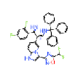 N=C(/C(=C\NC(c1ccccc1)(c1ccccc1)c1ccccc1)C1=CN2C(c3noc(C(F)F)n3)=CNC2C=C1)c1ccc(F)cc1F